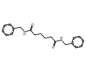 O=C(CCCCC(=O)NCc1ccccc1)NCc1ccccc1